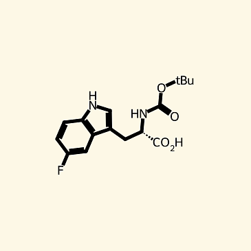 CC(C)(C)OC(=O)N[C@@H](Cc1c[nH]c2ccc(F)cc12)C(=O)O